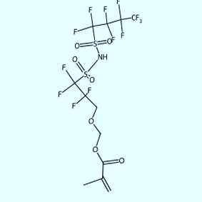 C=C(C)C(=O)OCOCC(F)(F)C(F)(F)S(=O)(=O)NS(=O)(=O)C(F)(F)C(F)(F)C(F)(F)C(F)(F)F